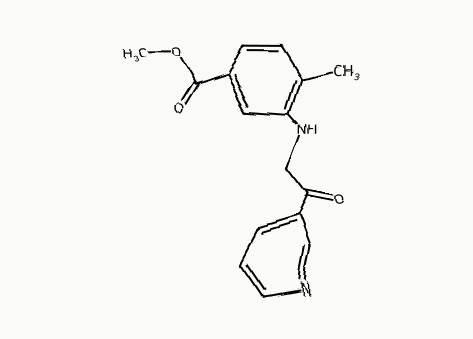 COC(=O)c1ccc(C)c(NCC(=O)c2cccnc2)c1